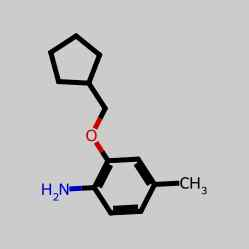 Cc1ccc(N)c(OCC2CCCC2)c1